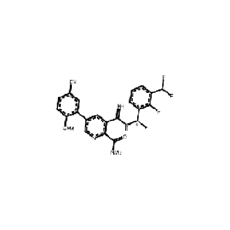 CNC(=O)c1ncc(-c2cc(C#N)ccc2OC)cc1C(=N)N[C@H](C)c1cccc(C(F)F)c1F